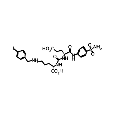 NS(=O)(=O)c1ccc(NC(=O)[C@H](CCC(=O)O)NC(=O)N[C@@H](CCCCNCc2ccc(I)cc2)C(=O)O)cc1